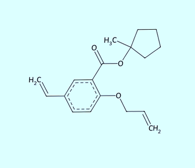 C=CCOc1ccc(C=C)cc1C(=O)OC1(C)CCCC1